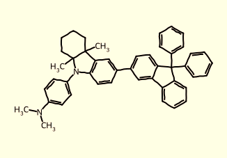 CN(C)c1ccc(N2c3ccc(-c4ccc5c(c4)-c4ccccc4C5(c4ccccc4)c4ccccc4)cc3C3(C)CCCCC23C)cc1